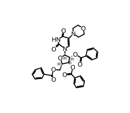 O=C(OC[C@H]1O[C@@H](n2cc(N3CCOCC3)c(=O)[nH]c2=O)[C@H](OC(=O)c2ccccc2)[C@@H]1OC(=O)c1ccccc1)c1ccccc1